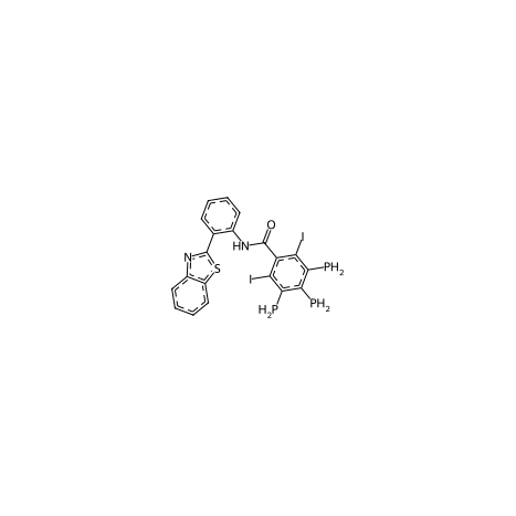 O=C(Nc1ccccc1-c1nc2ccccc2s1)c1c(I)c(P)c(P)c(P)c1I